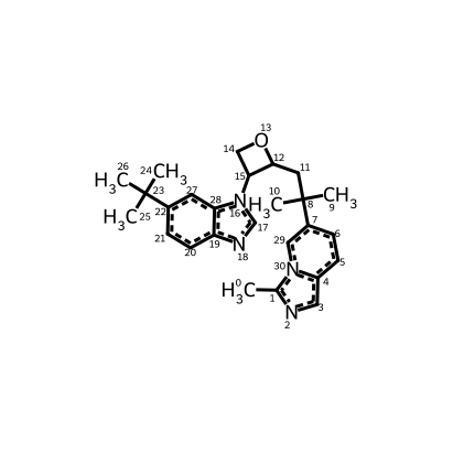 Cc1ncc2ccc(C(C)(C)CC3OCC3n3cnc4ccc(C(C)(C)C)cc43)cn12